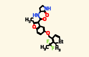 CC/C=C\C(COc1ccc2oc(C)c(C(=O)NC3CCNC3=O)c2c1)=C(/C)C(C)(F)F